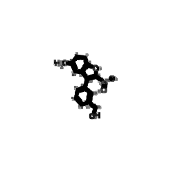 Cc1ccc2oc([N+](=O)[O-])c(-c3cccc(CO)c3)c2c1